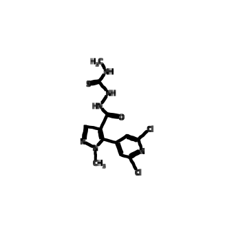 CNC(=S)NNC(=O)c1cnn(C)c1-c1cc(Cl)nc(Cl)c1